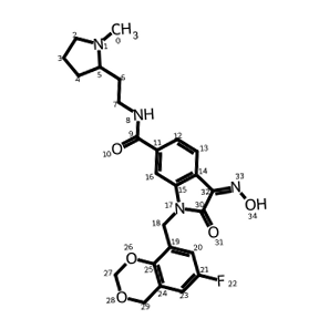 CN1CCCC1CCNC(=O)c1ccc2c(c1)N(Cc1cc(F)cc3c1OCOC3)C(=O)/C2=N\O